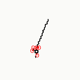 CCCCCCCC/C=C/CCCCCCCCCC(=O)Oc1ccc(OCC)cc1C(=O)O